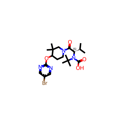 CC(C)[C@@H](C(=O)N1CCC(Oc2ncc(Br)cn2)C(C)(C)C1)N(C(=O)O)C(C)(C)C